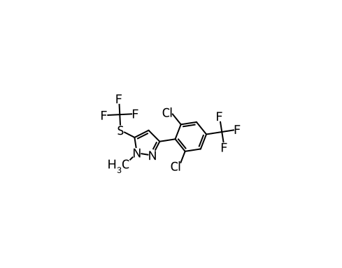 Cn1nc(-c2c(Cl)cc(C(F)(F)F)cc2Cl)cc1SC(F)(F)F